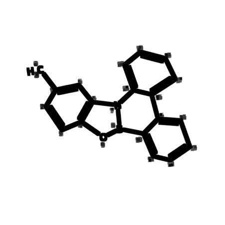 Cc1ccc2c(c1)N1B(O2)c2ccccc2-c2ccccc21